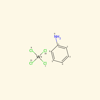 Nc1ccccc1.[Cl][W]([Cl])([Cl])[Cl]